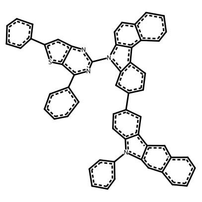 c1ccc(-c2cc3nc(-n4c5cc(-c6ccc7c(c6)c6cc8ccccc8cc6n7-c6ccccc6)ccc5c5c6ccccc6ccc54)nc(-c4ccccc4)c3s2)cc1